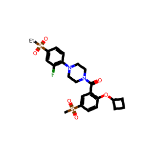 CCS(=O)(=O)c1ccc(N2CCN(C(=O)c3cc(S(C)(=O)=O)ccc3OC3CCC3)CC2)c(F)c1